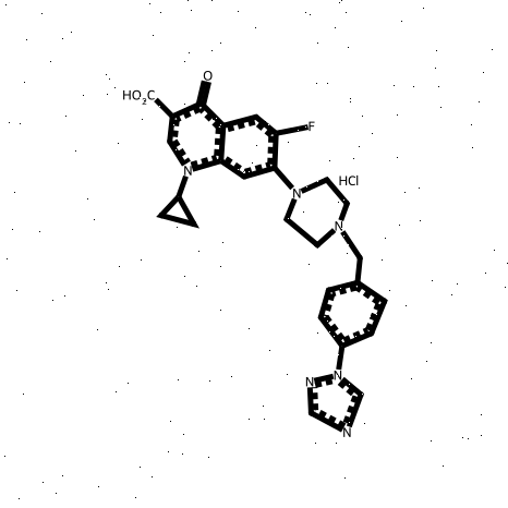 Cl.O=C(O)c1cn(C2CC2)c2cc(N3CCN(Cc4ccc(-n5cncn5)cc4)CC3)c(F)cc2c1=O